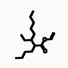 C=COC(=O)C(CCCC)C(CC)CCCCC